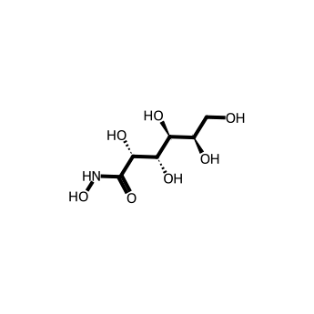 O=C(NO)[C@H](O)[C@@H](O)[C@@H](O)[C@H](O)CO